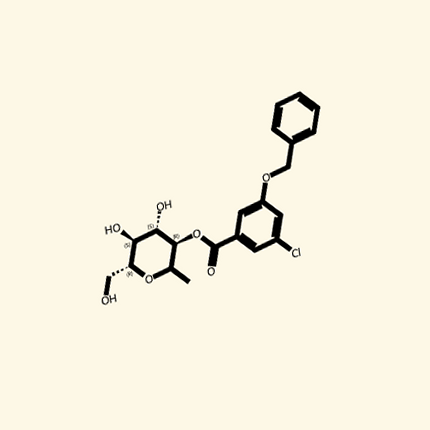 CC1O[C@H](CO)[C@@H](O)[C@H](O)[C@H]1OC(=O)c1cc(Cl)cc(OCc2ccccc2)c1